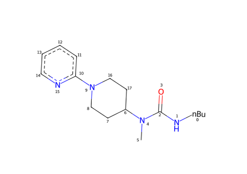 CCCCNC(=O)N(C)C1CCN(c2ccccn2)CC1